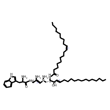 CCCCCCCC/C=C\CCCCCCCC(=O)N[C@@H](CN(N)/C=C(\N)CNC(=O)C(N)Cc1c[nH]c2ccccc12)[C@H](O)/C=C/CCCCCCCCCCCCC